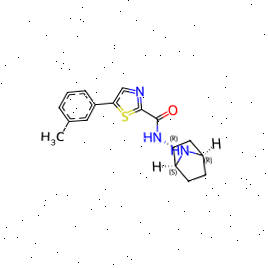 Cc1cccc(-c2cnc(C(=O)N[C@@H]3C[C@H]4CC[C@@H]3N4)s2)c1